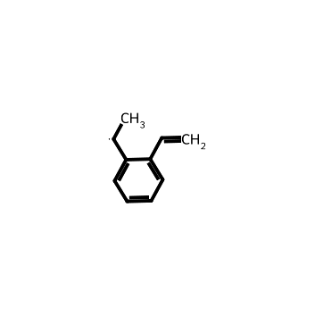 C=Cc1ccccc1[CH]C